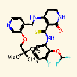 COC(C)(C)COc1cnccc1CNC1=C(C(=S)Nc2cccc(F)c2OC(F)F)C(=O)NCC1